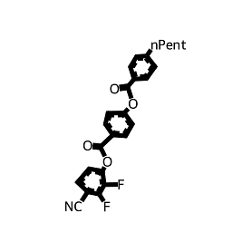 CCCCCc1ccc(C(=O)Oc2ccc(C(=O)Oc3ccc(C#N)c(F)c3F)cc2)cc1